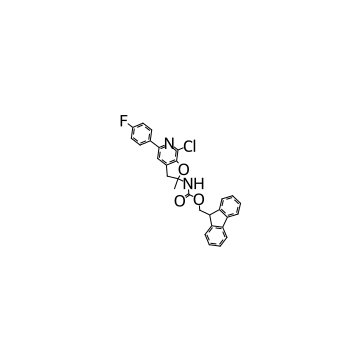 CC1(NC(=O)OCC2c3ccccc3-c3ccccc32)Cc2cc(-c3ccc(F)cc3)nc(Cl)c2O1